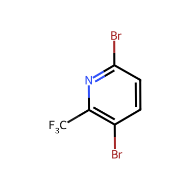 FC(F)(F)c1nc(Br)ccc1Br